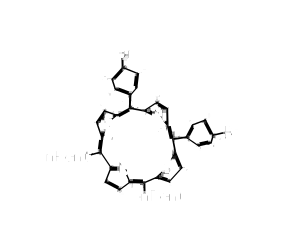 CCCCCc1c2nc(c(CCCCC)c3ccc(s3)c(-c3ccc(Br)cc3)c3nc(c(-c4ccc(Br)cc4)c4ccc1s4)C=C3)C=C2